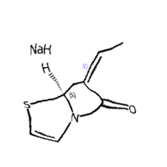 C/C=C1\C(=O)N2C=CS[C@@H]12.[NaH]